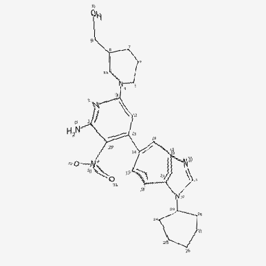 Nc1nc(N2CCCC(CO)C2)cc(-c2ccc3c(c2)ncn3C2CCCCC2)c1[N+](=O)[O-]